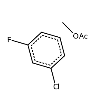 COC(C)=O.Fc1cccc(Cl)c1